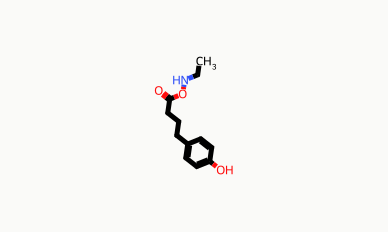 CCNOC(=O)CCCc1ccc(O)cc1